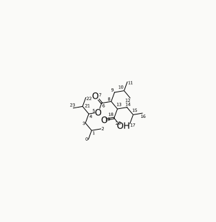 CC(C)CC(OC(=O)C(CC(C)C)C(CC(C)C)C(=O)O)C(C)C